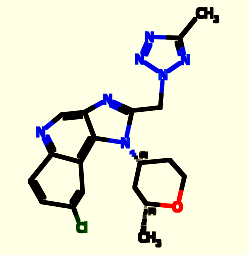 Cc1nnn(Cc2nc3cnc4ccc(Cl)cc4c3n2[C@@H]2CCO[C@H](C)C2)n1